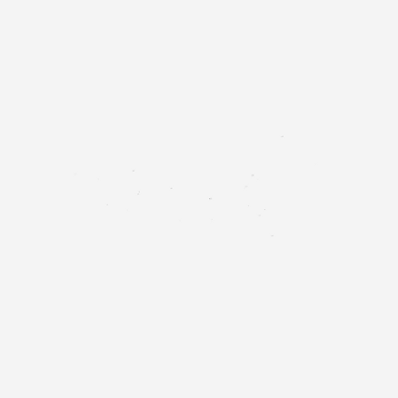 O=C1C(=Cc2cc3sc(-c4ccc(Cl)cc4)cc3o2)C(=O)c2cc(Cl)c(Cl)cc21